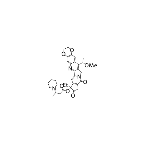 CCC1(OC(=O)CC(C)N2CCCCC2)C(=O)Cc2c1cc1n(c2=O)Cc2c-1nc1cc3c(cc1c2C(C)OC)OCCO3